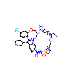 CCN1CCNC2COc3cc(F)ccc3-c3c(C4CCCCC4)c4ccc(cc4n3C2)C(=O)NS(=O)(=O)N(C)CC1